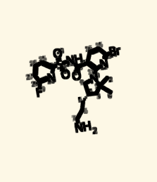 CC1(C)C[C@H](CCCN)CN1c1nc(Br)ccc1C(=O)NS(=O)(=O)c1cccc(F)n1